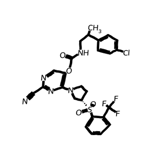 CC(CNC(=O)Oc1cnc(C#N)nc1N1CC[C@H](S(=O)(=O)c2ccccc2C(F)(F)F)C1)c1ccc(Cl)cc1